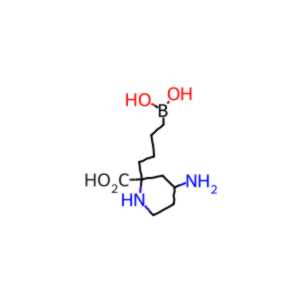 NC1CCNC(CCCCB(O)O)(C(=O)O)C1